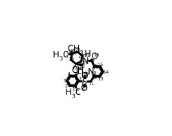 Cc1cccc(Cl)c1S(=O)(=O)Cc1cccc(C(=O)N2C[C@]3(C)C[C@H]2CC(C)(C)C3)n1